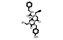 C#CCN1CC(=O)N2[C@@H](Cc3ccc(O)cc3)C(=O)N(CC(C)C)C[C@@H]2N1C(=O)NCc1ccccc1